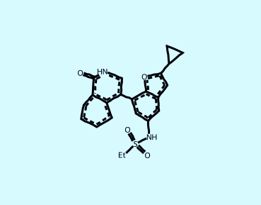 CCS(=O)(=O)Nc1cc(-c2c[nH]c(=O)c3ccccc23)c2oc(C3CC3)cc2c1